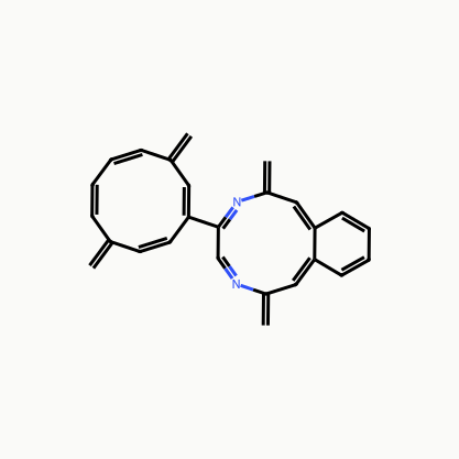 C=c1ccccc(=C)cc(-c2cnc(=C)cc3ccccc3cc(=C)n2)cc1